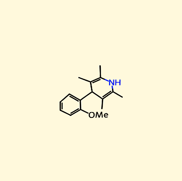 COc1ccccc1C1C(C)=C(C)NC(C)=C1C